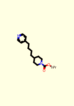 CCCOC(=O)N1CCC(CCCCc2ccncc2)CC1